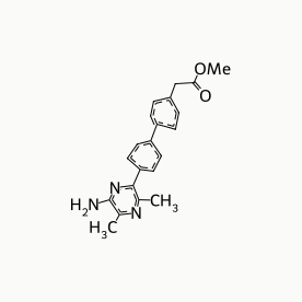 COC(=O)Cc1ccc(-c2ccc(-c3nc(N)c(C)nc3C)cc2)cc1